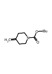 C=C1CCN(C(=O)OC(C)CC)CC1